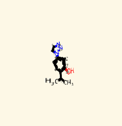 CC(C)c1ccc(-n2ccnn2)cc1O